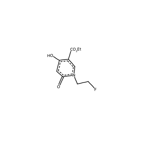 CCOC(=O)c1cn(CCF)c(=O)cc1O